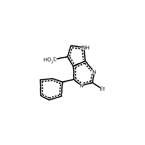 CCc1nc(-c2ccccc2)c2c(C(=O)O)c[nH]c2n1